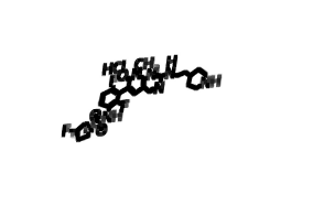 Cl.Cn1c(=O)c(-c2c(F)ccc(NS(=O)(=O)N3CC[C@@H](F)C3)c2F)cc2cnc(NCCC3CCNCC3)nc21